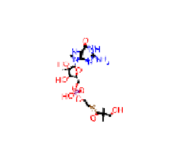 CC(C)(CO)C(=O)SCCOP(=O)(O)OC[C@H]1O[C@@H](n2cnc3c(=O)[nH]c(N)nc32)[C@](C)(O)[C@@H]1O